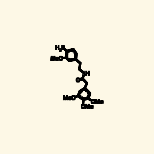 Bc1ccc(CCNC(=O)Cc2cc(OC)c(OC)c(OC)c2)cc1OC